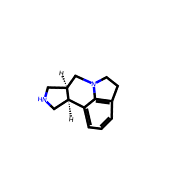 c1cc2c3c(c1)[C@H]1CNC[C@H]1CN3CC2